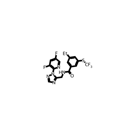 CCc1cc(SC(F)(F)F)cc(C(=O)NCc2ncnn2-c2ncc(F)cc2F)c1